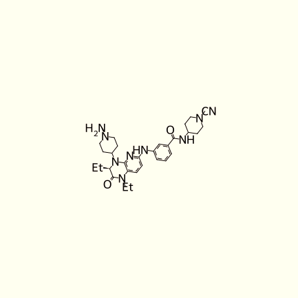 CC[C@@H]1C(=O)N(CC)c2ccc(Nc3cccc(C(=O)NC4CCN(C#N)CC4)c3)nc2N1C1CCN(N)CC1